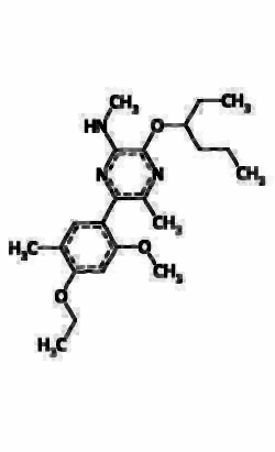 CCCC(CC)Oc1nc(C)c(-c2cc(C)c(OCC)cc2OC)nc1NC